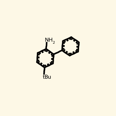 CC(C)(C)c1ccc(N)c(-c2ccccc2)c1